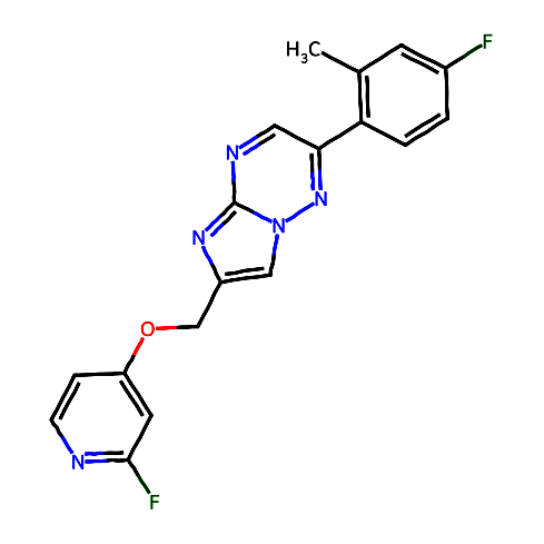 Cc1cc(F)ccc1-c1cnc2nc(COc3ccnc(F)c3)cn2n1